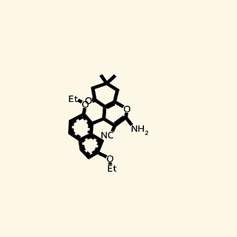 CCOc1ccc2ccc(OCC)c(C3C(C#N)=C(N)OC4=C3C(=O)CC(C)(C)C4)c2c1